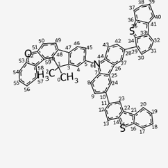 CC1(C)c2cc(-n3c4ccc(-c5ccc6sc7ccccc7c6c5)cc4c4cc(-c5cccc6c5sc5ccccc56)ccc43)ccc2-c2ccc3oc4ccccc4c3c21